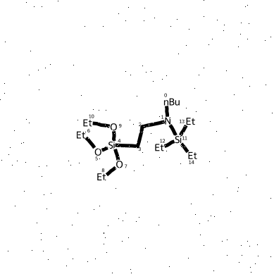 CCCCN(CC[Si](OCC)(OCC)OCC)[Si](CC)(CC)CC